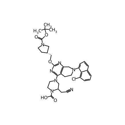 CC(C)(C)OC(=O)N1CC[C@@H](COc2nc3c(c(N4CCN(C(=O)O)C(CC#N)C4)n2)CCN(c2cccc4cccc(Cl)c24)C3)C1